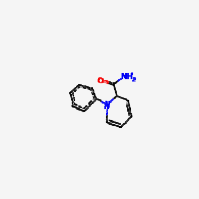 NC(=O)C1C=CC=CN1c1ccccc1